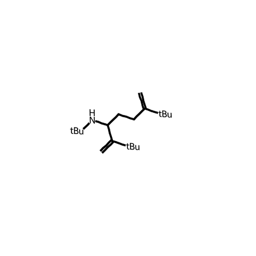 C=C(CCC(NC(C)(C)C)C(=C)C(C)(C)C)C(C)(C)C